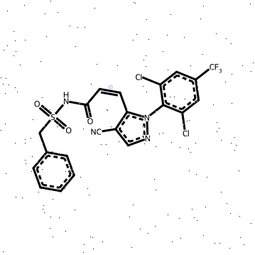 N#Cc1cnn(-c2c(Cl)cc(C(F)(F)F)cc2Cl)c1/C=C\C(=O)NS(=O)(=O)Cc1ccccc1